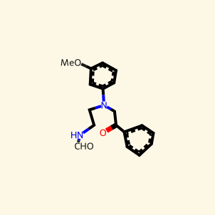 COc1cccc(N(CCNC=O)CC(=O)c2ccccc2)c1